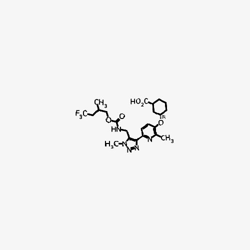 Cc1nc(-c2nnn(C)c2CNC(=O)OCC(C)CC(F)(F)F)ccc1O[C@H]1CCCC(C(=O)O)C1